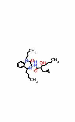 CCCCC1=N[C@H](NC(=O)C(CC2CC2)C(O)CCCC)C(=O)N(CCCC)c2ccccc21